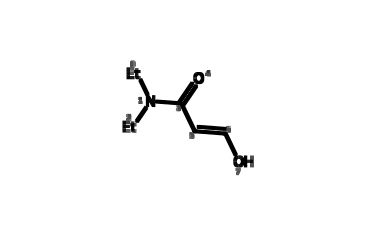 CCN(CC)C(=O)C=CO